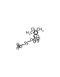 Cc1cc2c(c(C)c1Cl)C=C(C(=O)OCCSSCCO[N+](=O)[O-])[C@@H](C(F)(F)F)O2